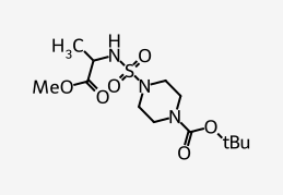 COC(=O)C(C)NS(=O)(=O)N1CCN(C(=O)OC(C)(C)C)CC1